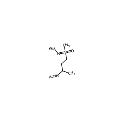 CC(=O)NC(C)CCS(C)(=O)=NC(C)(C)C